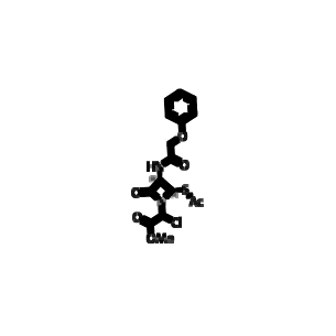 COC(=O)C(Cl)N1C(=O)[C@@H](NC(=O)COc2ccccc2)[C@H]1SC(C)=O